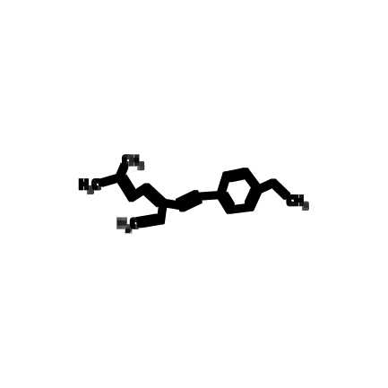 C=C/C(C#Cc1ccc(CC)cc1)=C\C=C(C)C